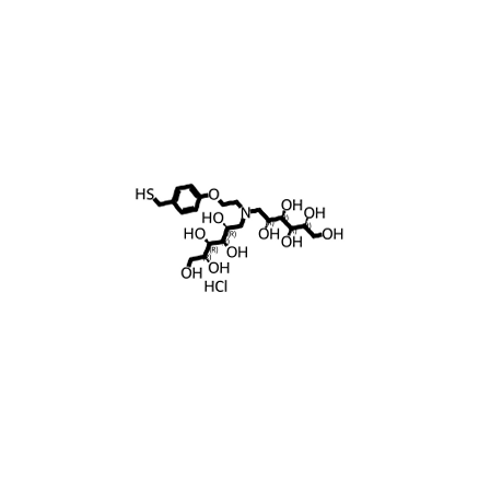 Cl.OC[C@@H](O)[C@@H](O)[C@H](O)[C@H](O)CN(CCOc1ccc(CS)cc1)C[C@@H](O)[C@@H](O)[C@H](O)[C@H](O)CO